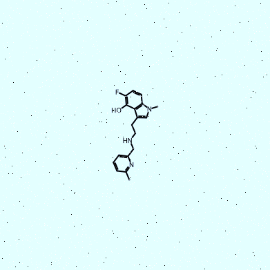 Cc1cccc(CNCCc2cn(C)c3ccc(F)c(O)c23)n1